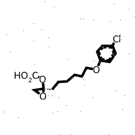 O=C(O)O[C@]1(CCCCCCOc2ccc(Cl)cc2)CO1